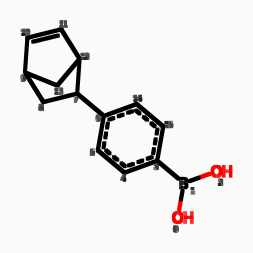 OB(O)c1ccc(C2CC3C=CC2C3)cc1